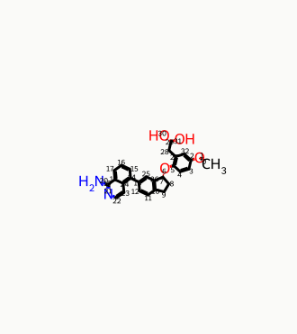 COc1ccc(O[C@@H]2CCc3ccc(-c4cccc5c(N)nccc45)cc32)c(CC(O)O)c1